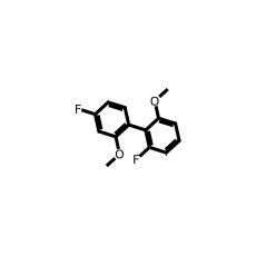 COc1cc(F)ccc1-c1c(F)[c]ccc1OC